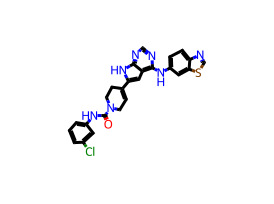 O=C(Nc1cccc(Cl)c1)N1CC=C(c2cc3c(Nc4ccc5ncsc5c4)ncnc3[nH]2)CC1